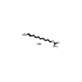 Br.CCCCC=CCCCCCCCCOC(N)CC